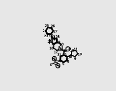 CS(=O)(=O)c1ccc(C2CCCC2)c(C(=O)N2CCc3nn(-c4ccccc4)cc3C2)c1